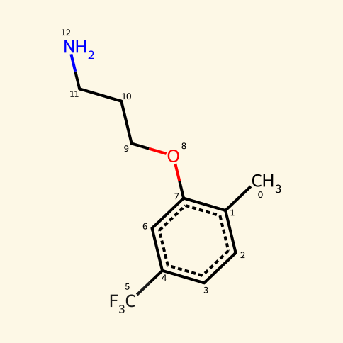 Cc1ccc(C(F)(F)F)cc1OCCCN